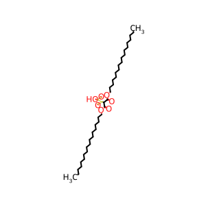 CCCCCCCCCCCCCCCCCCOC(=O)C(C(=O)OCCCCCCCCCCCCCCCCCC)S(=O)(=O)O